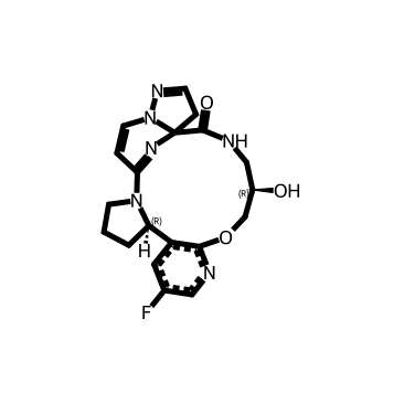 O=C1NC[C@@H](O)COc2ncc(F)cc2[C@H]2CCCN2C2=NC13CC=NN3C=C2